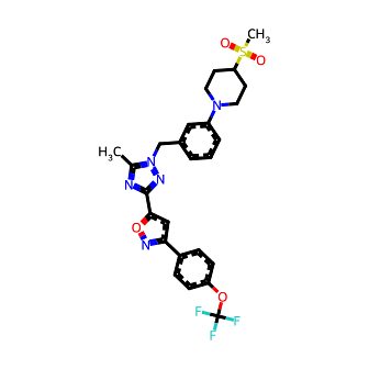 Cc1nc(-c2cc(-c3ccc(OC(F)(F)F)cc3)no2)nn1Cc1cccc(N2CCC(S(C)(=O)=O)CC2)c1